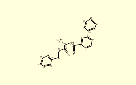 C[C@H](NC(=O)c1cccc(-c2ccccc2)c1)C(=O)OCc1ccccc1